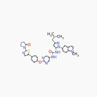 CC(C)Cc1cc(NC(=O)Nc2cnc(Oc3ccc(-c4cnc(N5CCCC5=O)s4)cc3)nc2)n(-c2ccc3c(ccn3C)c2)n1